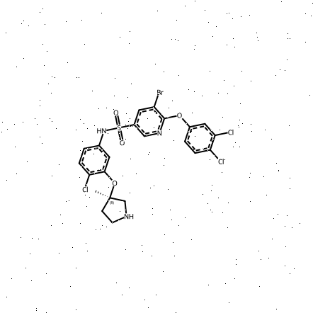 C[C@@]1(Oc2cc(NS(=O)(=O)c3cnc(Oc4ccc(Cl)c(Cl)c4)c(Br)c3)ccc2Cl)CCNC1